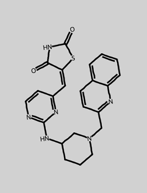 O=C1NC(=O)/C(=C\c2ccnc(NC3CCCN(Cc4ccc5ccccc5n4)C3)n2)S1